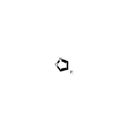 [P].c1cnoc1